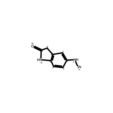 CC(C)Nc1ccc2c(c1)CC(=O)N2